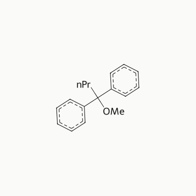 [CH2]CCC(OC)(c1ccccc1)c1ccccc1